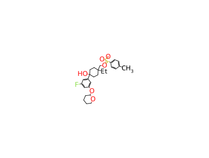 CCC1(COS(=O)(=O)c2ccc(C)cc2)CCC(O)(c2cc(F)cc(OC3CCCCO3)c2)CC1